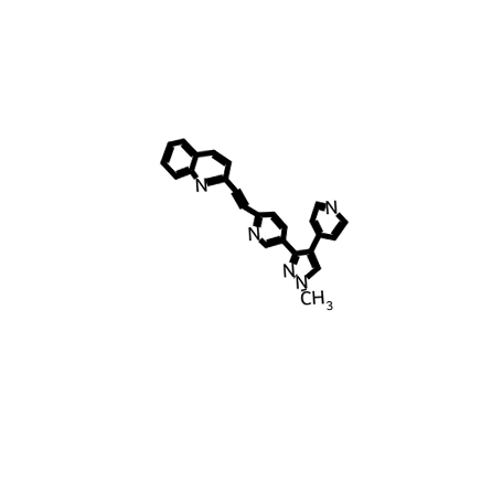 Cn1cc(-c2ccncc2)c(-c2ccc(C#Cc3ccc4ccccc4n3)nc2)n1